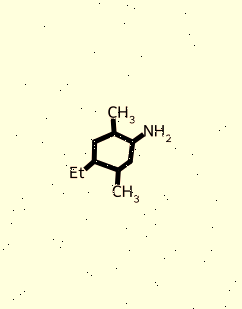 CCC1CC(C)C(N)CC1C